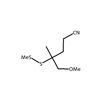 COCC(C)(CCC#N)SSC